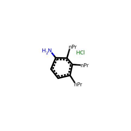 CCCc1ccc(N)c(CCC)c1CCC.Cl